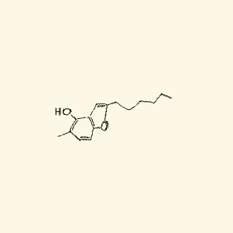 CCCCCCc1cc2c(O)c(C)ccc2o1